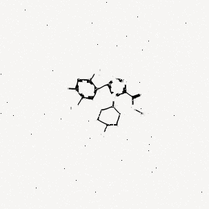 CC(C)NC(=O)c1nnc(-c2cc(C(C)C)c(O)cc2O)n1C1CCC(N)CC1